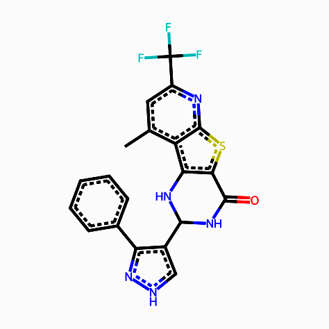 Cc1cc(C(F)(F)F)nc2sc3c(c12)NC(c1c[nH]nc1-c1ccccc1)NC3=O